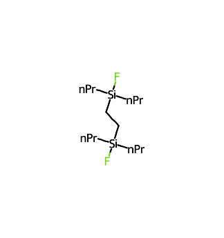 CCC[Si](F)(CCC)CC[Si](F)(CCC)CCC